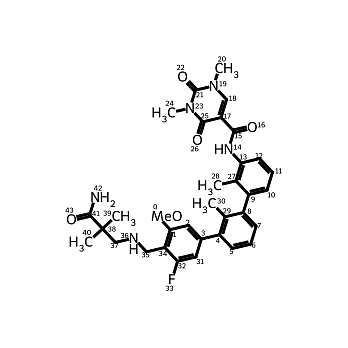 COc1cc(-c2cccc(-c3cccc(NC(=O)c4cn(C)c(=O)n(C)c4=O)c3C)c2C)cc(F)c1CNCC(C)(C)C(N)=O